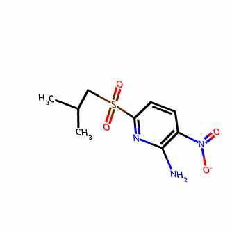 CC(C)CS(=O)(=O)c1ccc([N+](=O)[O-])c(N)n1